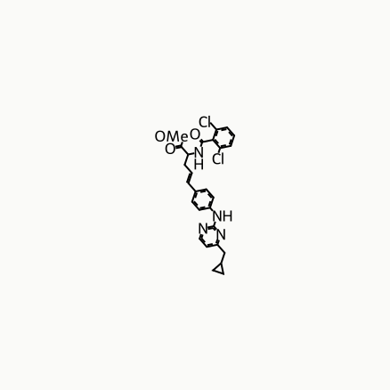 COC(=O)C(CC=Cc1ccc(Nc2nccc(CC3CC3)n2)cc1)NC(=O)c1c(Cl)cccc1Cl